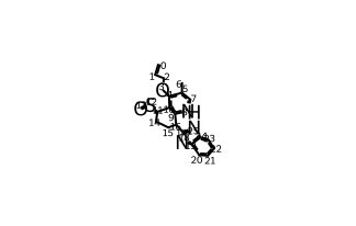 C=CCOc1c(C)cnc2c1C(=S=O)CCC2c1nc2ccccc2[nH]1